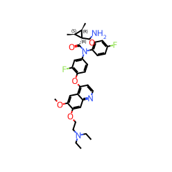 CCN(CC)CCOc1cc2nccc(Oc3ccc(N(C(=O)[C@@]4(C(N)=O)[C@H](C)[C@@H]4C)c4ccc(F)cc4)cc3F)c2cc1OC